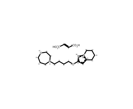 O=C(O)C=CC(=O)O.c1c(OCCCCN2CCCOCC2)nn2c1CCCC2